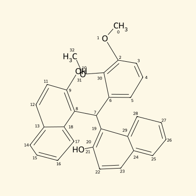 COc1cccc(C(c2c(O)ccc3ccccc23)c2c(O)ccc3ccccc23)c1OC